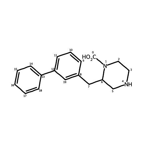 O=C(O)N1CCNCC1Cc1cccc(-c2ccccc2)c1